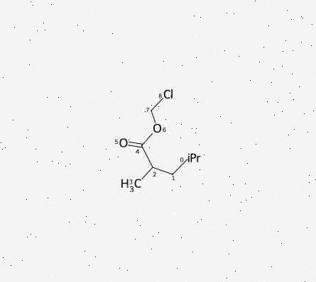 CC(C)CC(C)C(=O)OCCl